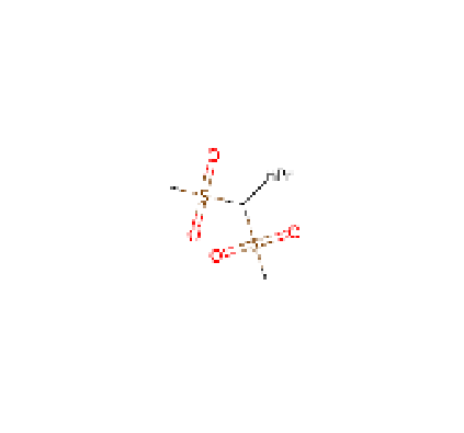 CCCC(S(C)(=O)=O)S(C)(=O)=O